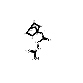 S=C(S)SSC(=S)SC12CCC(CC1)C2